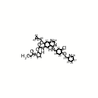 C=CC(=O)N1CCC[C@@H]1OC(=O)Nc1cc2c(Nc3ccc(OCc4ccccn4)c(Cl)c3)ncnc2cc1OCC1CC1